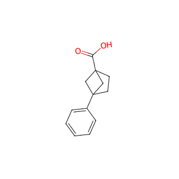 O=C(O)C12CCC(c3ccccc3)(C1)C2